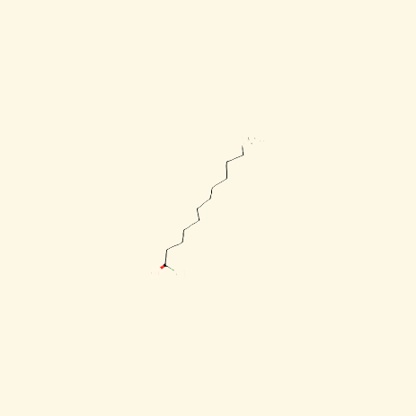 CSCCCCCCCCCCC(=O)Cl